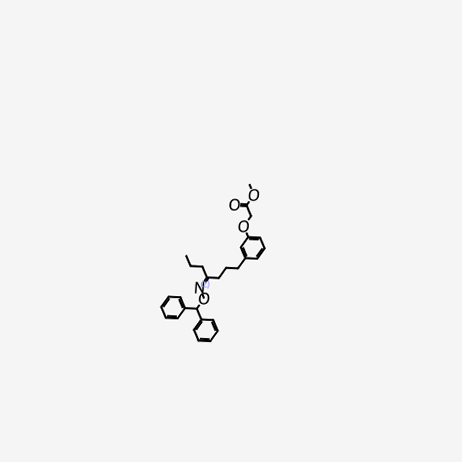 CCC/C(CCCc1cccc(OCC(=O)OC)c1)=N/OC(c1ccccc1)c1ccccc1